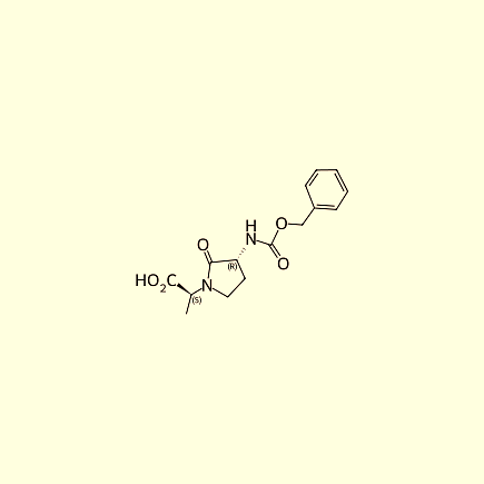 C[C@@H](C(=O)O)N1CC[C@@H](NC(=O)OCc2ccccc2)C1=O